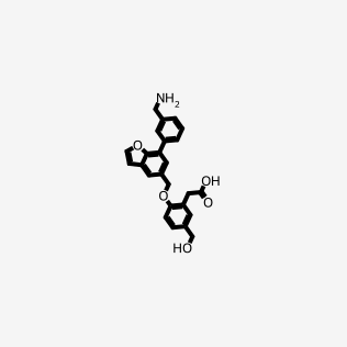 NCc1cccc(-c2cc(COc3ccc(CO)cc3CC(=O)O)cc3ccoc23)c1